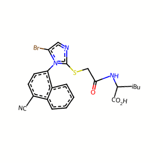 CCC(C)C(NC(=O)CSc1ncc(Br)n1-c1ccc(C#N)c2ccccc12)C(=O)O